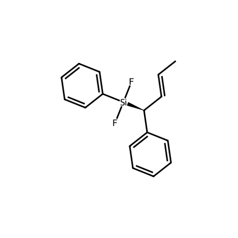 CC=C[C@@H](c1ccccc1)[Si](F)(F)c1ccccc1